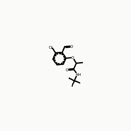 CC(Oc1cccc(Cl)c1C=O)C(=O)NC(C)(C)C